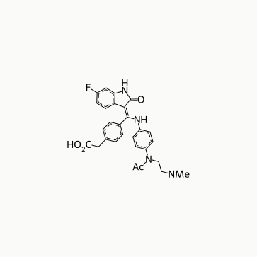 CNCCN(C(C)=O)c1ccc(N/C(=C2\C(=O)Nc3cc(F)ccc32)c2ccc(CC(=O)O)cc2)cc1